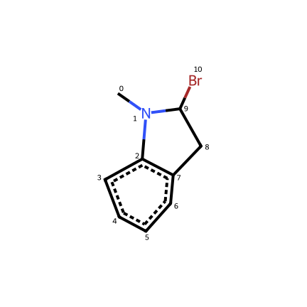 CN1c2ccccc2CC1Br